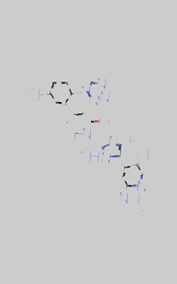 Nc1cc(-c2[nH]c([C@@H]3CCC4CC(c5c(-n6cnnn6)ccc(Cl)c5F)=CC(=O)N43)nc2F)c(Cl)cn1